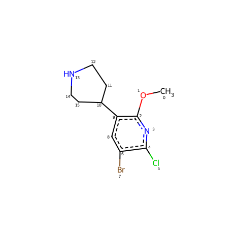 COc1nc(Cl)c(Br)cc1C1CCNCC1